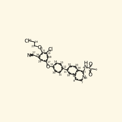 CS(=O)(=O)Nc1nccc2cc(-c3ccc(Oc4cc(Cl)c(OCCCl)c(C#N)c4)cc3)ccc12